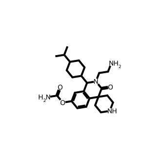 CC(C)C1CCC(C2c3cc(OC(N)=O)ccc3C3(CCNCC3)C(=O)N2CCN)CC1